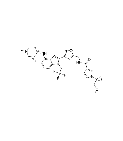 COCC1(n2ccc(C(=O)NCc3nc(-c4cc5c(N[C@H]6CCN(C)C[C@H]6C)cccc5n4CC(F)(F)F)no3)c2)CC1